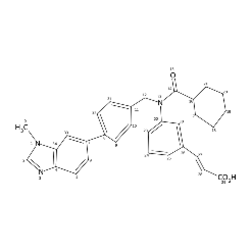 Cn1cnc2ccc(-c3ccc(CN(C(=O)C4CCCCC4)c4cccc(C=CC(=O)O)c4)cc3)cc21